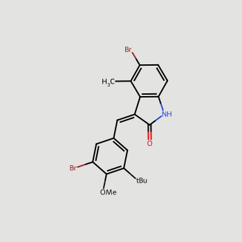 COc1c(Br)cc(C=C2C(=O)Nc3ccc(Br)c(C)c32)cc1C(C)(C)C